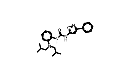 CC(C)CN(CC(C)C)c1ccccc1NC(=O)Nc1cc(-c2ccccc2)no1